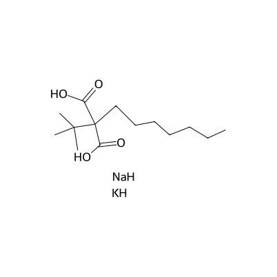 CCCCCCCC(C(=O)O)(C(=O)O)C(C)(C)C.[KH].[NaH]